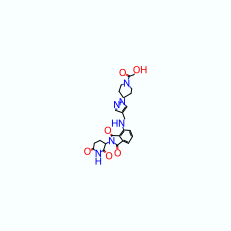 O=C1CCC(N2C(=O)c3cccc(NCc4cnn(C5CCN(C(=O)CO)CC5)c4)c3C2=O)C(=O)N1